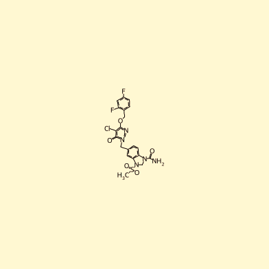 CS(=O)(=O)N1CN(C(N)=O)c2ccc(Cn3cnc(OCc4ccc(F)cc4F)c(Cl)c3=O)cc21